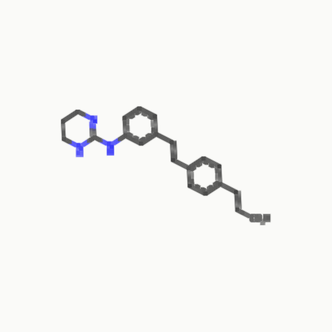 O=C(O)C=Cc1ccc(C=Cc2cccc(NC3=NCCCN3)c2)cc1